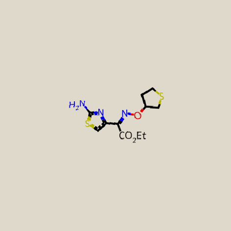 CCOC(=O)/C(=N\OC1CCSC1)c1csc(N)n1